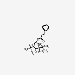 CC(C)(C)C(CCOC(=O)CCc1ccccc1)C(O)C(C)(C)C(C)(C)C